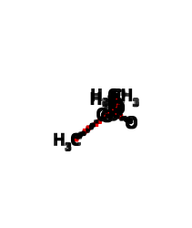 CCCCCCCCCCCCCCCC(=O)OC[C@H](COP(=O)([O-])OCC[N+](C)(C)C)OC(=O)CCCCCC=O